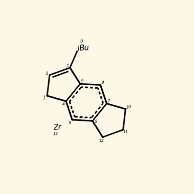 CCC(C)C1=C[CH]c2cc3c(cc21)CCC3.[Zr]